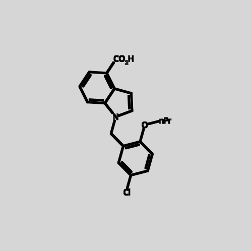 CCCOc1ccc(Cl)cc1Cn1ccc2c(C(=O)O)cccc21